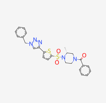 C[C@@H]1CN(C(=O)c2ccccc2)CCN1S(=O)(=O)c1ccc(-c2cn(Cc3ccccc3)nn2)s1